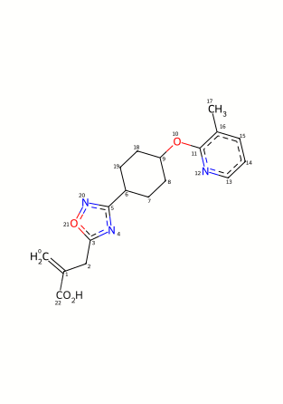 C=C(Cc1nc(C2CCC(Oc3ncccc3C)CC2)no1)C(=O)O